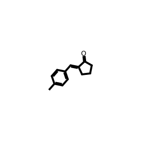 Cc1ccc(/C=C2\CCCC2=O)cc1